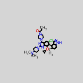 C=CC(=O)N1CCN(c2nc(N3CCC(N(C)C)CC3)nc3c(OC4CC4)c(-c4c(C)ccc5[nH]ncc45)c(Cl)cc23)CC1